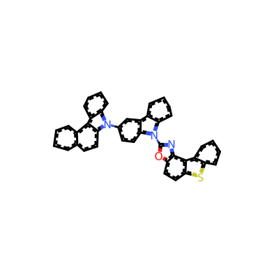 c1ccc2c(c1)ccc1c2c2ccccc2n1-c1ccc2c(c1)c1ccccc1n2-c1nc2c(ccc3sc4ccccc4c32)o1